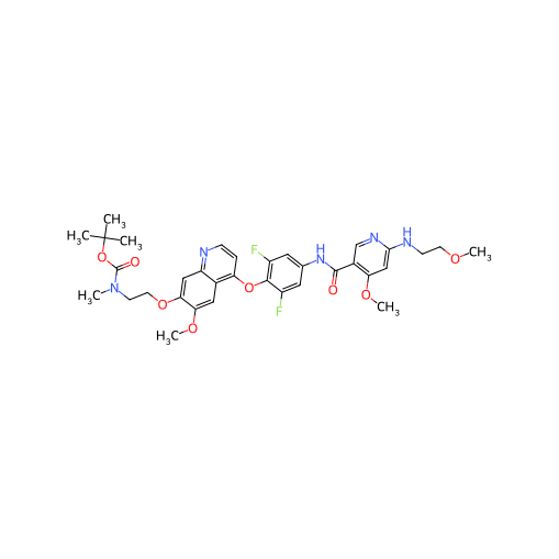 COCCNc1cc(OC)c(C(=O)Nc2cc(F)c(Oc3ccnc4cc(OCCN(C)C(=O)OC(C)(C)C)c(OC)cc34)c(F)c2)cn1